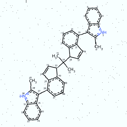 Cc1[nH]c2ccccc2c1-c1cccc2c1C=CC2C(C)(C)C1C=Cc2c(-c3c(C)[nH]c4ccccc34)cccc21